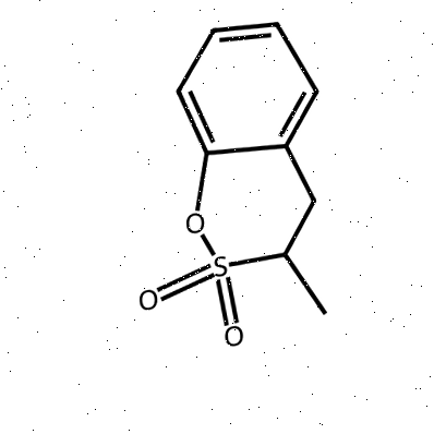 CC1Cc2ccccc2OS1(=O)=O